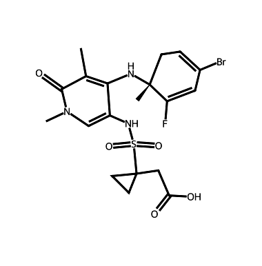 Cc1c(N[C@]2(C)CC=C(Br)C=C2F)c(NS(=O)(=O)C2(CC(=O)O)CC2)cn(C)c1=O